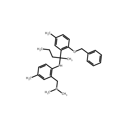 CCCC(C)(Pc1ccc(C)cc1CN(C)C)c1cc(C)ccc1OCc1ccccc1